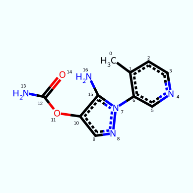 Cc1ccncc1-n1ncc(OC(N)=O)c1N